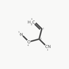 C=CC(C#N)O[N]